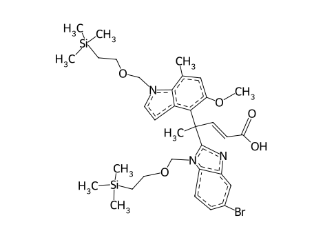 COc1cc(C)c2c(ccn2COCC[Si](C)(C)C)c1C(C)(C=CC(=O)O)c1nc2cc(Br)ccc2n1COCC[Si](C)(C)C